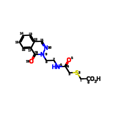 O=C(O)CSCC(=O)NCCn1ncc2ccccc2c1=O